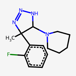 CC1(c2ccccc2F)N=NNC1N1CCCCC1